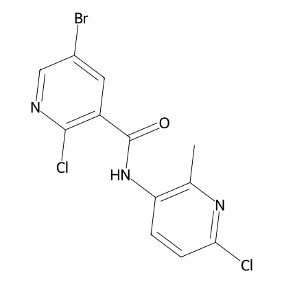 Cc1nc(Cl)ccc1NC(=O)c1cc(Br)cnc1Cl